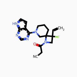 C=CC1(F)CN(C(=O)CC#N)C12CCCN(c1ncnc3[nH]ccc13)C2